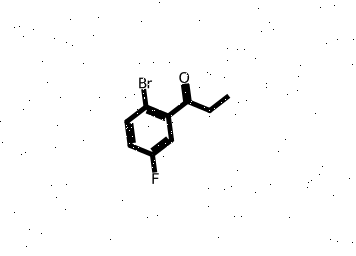 CCC(=O)c1cc(F)ccc1Br